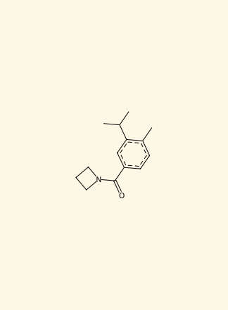 Cc1ccc(C(=O)N2CCC2)cc1C(C)C